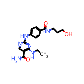 NC(=O)c1cnc(Nc2ccc(C(=O)NCCCO)cc2)nc1NCC(F)(F)F